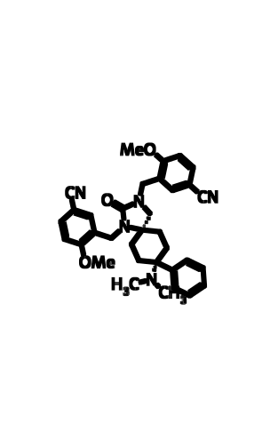 COc1ccc(C#N)cc1CN1C[C@]2(CC[C@@](c3ccccc3)(N(C)C)CC2)N(Cc2cc(C#N)ccc2OC)C1=O